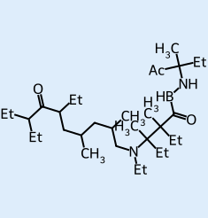 CCC(CC)C(=O)C(CC)CC(C)CC(C)CN(CC)C(C)(CC)C(C)(CC)C(=O)BNC(C)(CC)C(C)=O